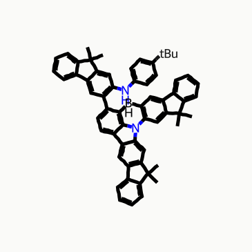 CC(C)(C)c1ccc(Nc2cc3c(cc2-c2ccc4c5cc6c(cc5n5c4c2Bc2cc4c(cc2-5)C(C)(C)c2ccccc2-4)C(C)(C)c2ccccc2-6)-c2ccccc2C3(C)C)cc1